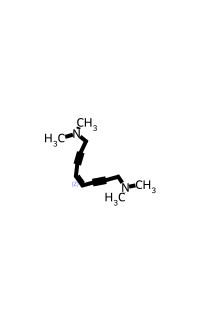 CN(C)CC#C/C=C\C#CCN(C)C